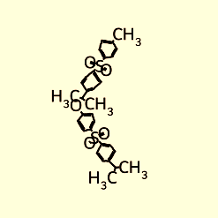 Cc1ccc(S(=O)(=O)c2ccc(C(C)(C)Oc3ccc(S(=O)(=O)c4ccc(C(C)C)cc4)cc3)cc2)cc1